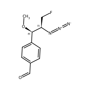 CO[C@H](c1ccc(C=O)cc1)[C@@H](CF)N=[N+]=[N-]